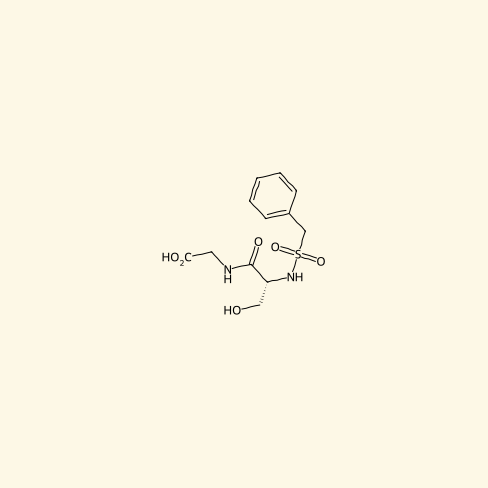 O=C(O)CNC(=O)[C@@H](CO)NS(=O)(=O)Cc1ccccc1